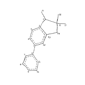 CC1c2ccc(-c3ccccc3)cc2CC1(C)C